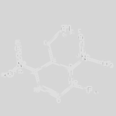 CCC1C([N+](=O)[O-])=C(F)C=CC1[N+](=O)[O-]